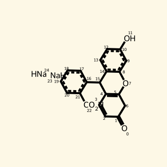 O=C1C=CC2=C(C1)Oc1cc(O)ccc1C2c1ccccc1C(=O)O.[NaH].[NaH]